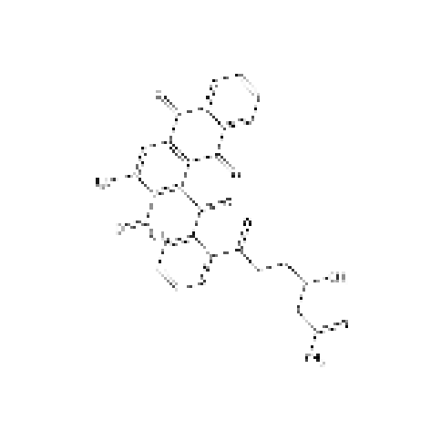 CC(=O)CC(C)CCC(=O)c1ccccc1C(=O)c1c(C(C)=O)c(C)cc2c1C(=O)c1ccccc1C2=O